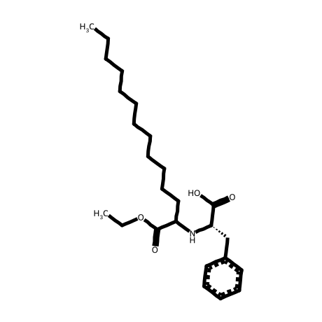 CCCCCCCCCCCCC(N[C@@H](Cc1ccccc1)C(=O)O)C(=O)OCC